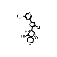 N=C1NC(c2sc(-c3cncc(C(F)(F)F)c3)cc2Cl)C[S+]([O-])C12CCOCC2